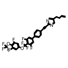 C=CCCc1cnc(C#Cc2ccc(-c3cc(F)c(C(F)(F)Oc4cc(F)c(OC(F)(F)F)c(F)c4)c(F)c3)cc2)nc1